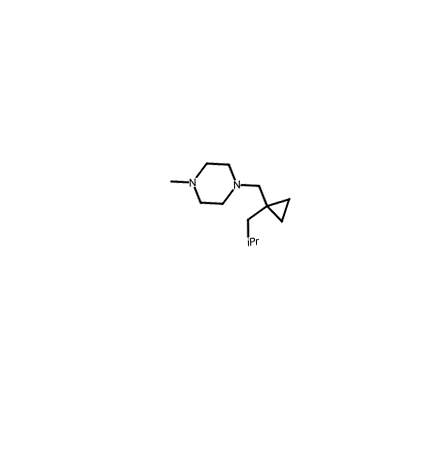 CC(C)CC1(CN2CCN(C)CC2)CC1